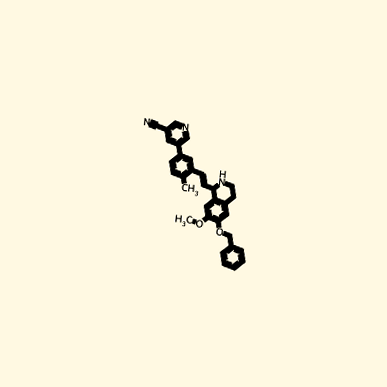 COc1cc2c(cc1OCc1ccccc1)CCNC2/C=C/c1cc(-c2cncc(C#N)c2)ccc1C